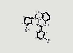 O=C(Nc1cccc(F)c1NC(=O)c1cccc(O)c1)c1cccc(O)c1